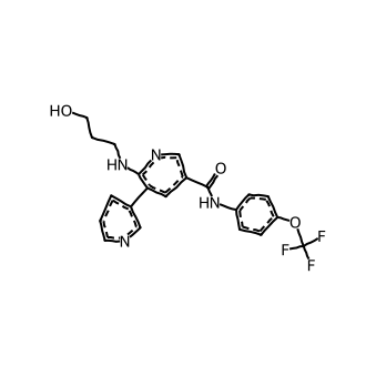 O=C(Nc1ccc(OC(F)(F)F)cc1)c1cnc(NCCCO)c(-c2cccnc2)c1